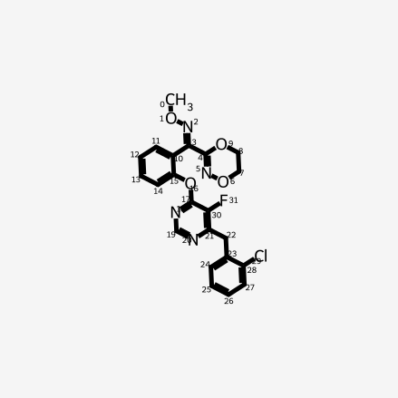 CO/N=C(/C1=NOCCO1)c1ccccc1Oc1ncnc(Cc2ccccc2Cl)c1F